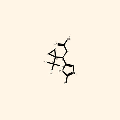 Cc1ncc([C@H](CC(=O)O)C2(C(F)(F)F)CC2)s1